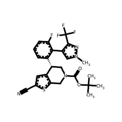 Cn1cc(-c2c(F)cccc2[C@@H]2CN(C(=O)OC(C)(C)C)Cc3sc(C#N)cc32)c(C(F)(F)F)n1